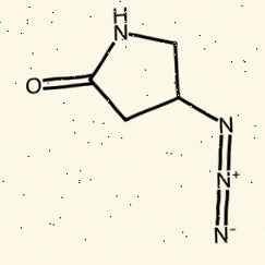 [N-]=[N+]=NC1CNC(=O)C1